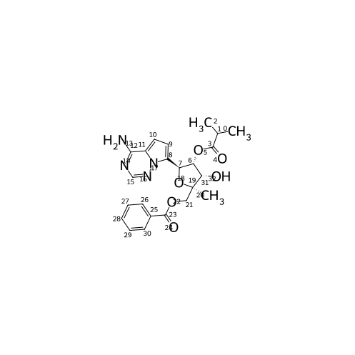 CC(C)C(=O)O[C@H]1[C@H](c2ccc3c(N)ncnn23)O[C@](C)(COC(=O)c2ccccc2)[C@H]1O